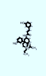 C=CCN1CCC2(c3cccc(O)c3)CC(NC(=O)/C=C/c3cccc(O)c3)CCC2(OC(C)=O)C1